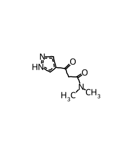 CN(C)C(=O)CC(=O)c1cn[nH]c1